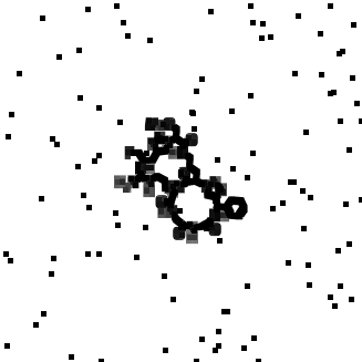 COCC(C(=O)NCCCC1C(=O)N[C@@H](CCCNC(=N)N)C(=O)NCC(=O)NCC(=O)NC(c2ccccc2)c2cn1nn2)n1cc(CCCF)nn1